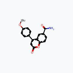 CC(C)(C)Oc1ccc(-c2cc(=O)oc3ccc(C(N)=O)cc23)cc1